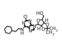 CC1(C)O[C@@H]2C(CO)OC(n3cnc4c(NCCC5CCCCC5)nc(Cl)nc43)[C@@H]2O1